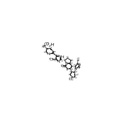 O=C(O)Nc1ccc(-c2[nH]c([C@@H]3CCc4cc(-c5cc(Cl)ccc5-n5cc(Cl)nn5)cc(=O)n43)nc2Cl)nc1